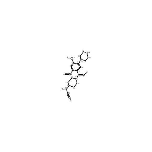 C=Nc1cc(OC)c(N2CCOCC2)cc1/C(=C\C)N1CCC(C(C)C#N)CC1